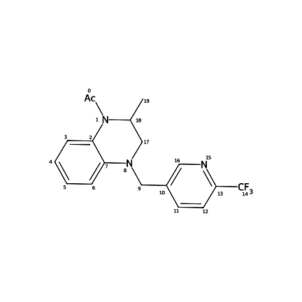 CC(=O)N1c2ccccc2N(Cc2ccc(C(F)(F)F)nc2)CC1C